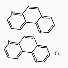 [Cu].c1cnc2c(c1)ccc1ncccc12.c1cnc2c(c1)ccc1ncccc12